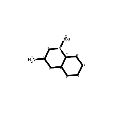 CC(C)(C)N1CC(N)CC2CCCCC21